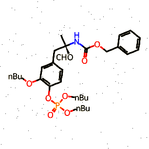 CCCCOc1cc(C[C@@](C)(C=O)NC(=O)OCc2ccccc2)ccc1OP(=O)(OCCCC)OCCCC